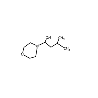 CC(C)CC(O)N1CCOCC1